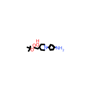 CC(C)(C)OC(=O)CC1(O)CCN(c2ccc(N)cc2)CC1